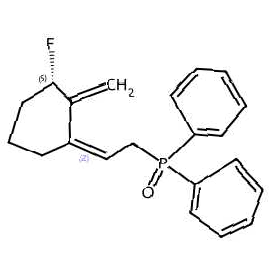 C=C1/C(=C\CP(=O)(c2ccccc2)c2ccccc2)CCC[C@@H]1F